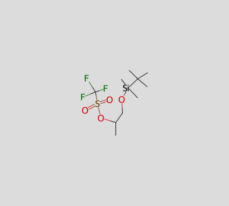 CC(CO[Si](C)(C)C(C)(C)C)OS(=O)(=O)C(F)(F)F